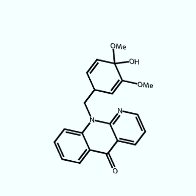 COC1=CC(Cn2c3ccccc3c(=O)c3cccnc32)C=CC1(O)OC